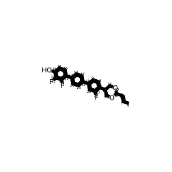 C/C=C/C1OCC(c2ccc(-c3ccc(-c4ccc(O)c(F)c4F)cc3)cc2F)CO1